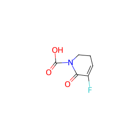 O=C(O)N1CCC=C(F)C1=O